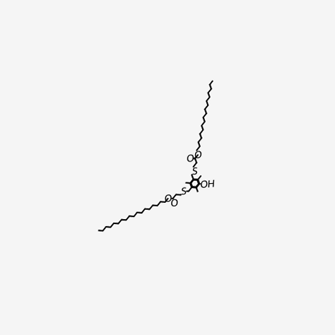 CCCCCCCCCCCCCCCCCCOC(=O)CCSCc1c(C)c(O)c(C)c(CSCCC(=O)OCCCCCCCCCCCCCCCCCC)c1C